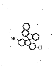 N#CC1=CC2=C(CC1)c1ccc(Cl)cc1C21c2ccccc2-c2c1ccc1ccccc21